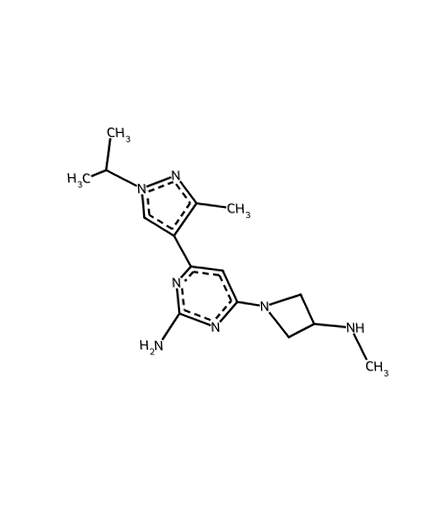 CNC1CN(c2cc(-c3cn(C(C)C)nc3C)nc(N)n2)C1